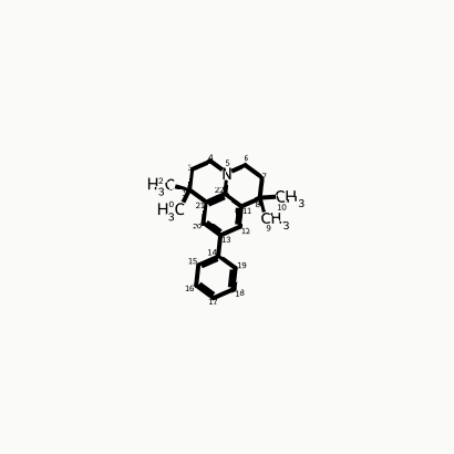 CC1(C)CCN2CCC(C)(C)c3cc(-c4ccccc4)cc1c32